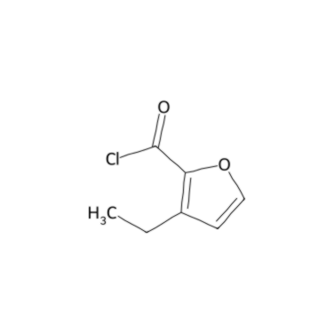 CCc1ccoc1C(=O)Cl